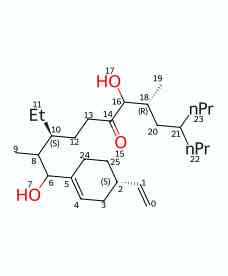 C=C[C@@H]1CC=C(C(O)C(C)[C@@H](CC)CCC(=O)C(O)[C@H](C)CC(CCC)CCC)CC1